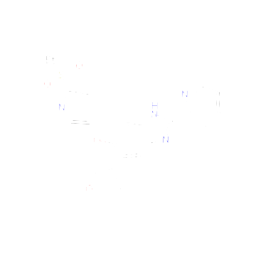 CCS(=O)(=O)c1ccc(Oc2cc3[nH]c(-c4ccccn4)nc3cc2C2CCOC2)cn1